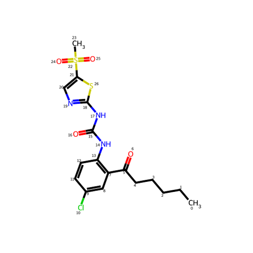 CCCCCC(=O)c1cc(Cl)ccc1NC(=O)Nc1ncc(S(C)(=O)=O)s1